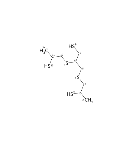 CC(S)CSCC(CS)SCC(C)S